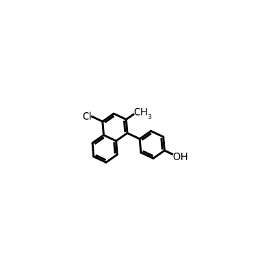 Cc1cc(Cl)c2ccccc2c1-c1ccc(O)cc1